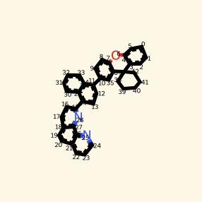 c1ccc2c(c1)Oc1ccc(-c3ccc(-c4ccc5ccc6cccnc6c5n4)c4ccccc34)cc1C21CCCCC1